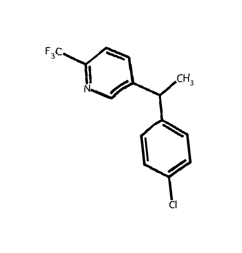 CC(c1ccc(Cl)cc1)c1ccc(C(F)(F)F)nc1